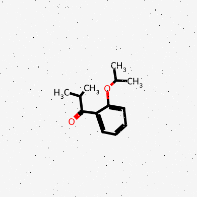 CC(C)Oc1ccccc1C(=O)C(C)C